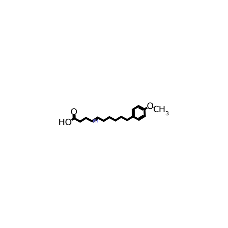 COc1ccc(CCCCC/C=C/CCC(=O)O)cc1